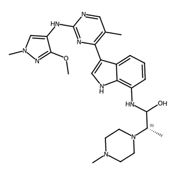 COc1nn(C)cc1Nc1ncc(C)c(-c2c[nH]c3c(NC(O)[C@H](C)N4CCN(C)CC4)cccc23)n1